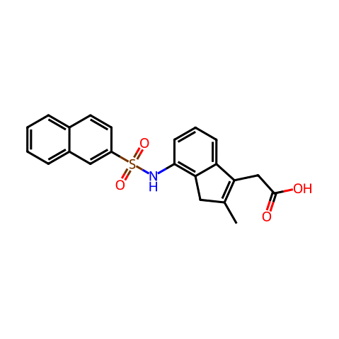 CC1=C(CC(=O)O)c2cccc(NS(=O)(=O)c3ccc4ccccc4c3)c2C1